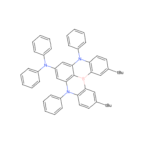 CC(C)(C)c1ccc2c(c1)B1c3cc(C(C)(C)C)ccc3N(c3ccccc3)c3cc(N(c4ccccc4)c4ccccc4)cc(c31)N2c1ccccc1